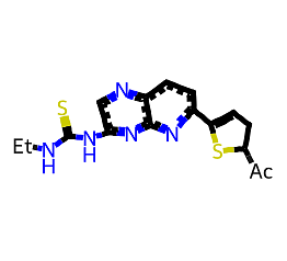 CCNC(=S)Nc1cnc2ccc(C3=CCC(C(C)=O)S3)nc2n1